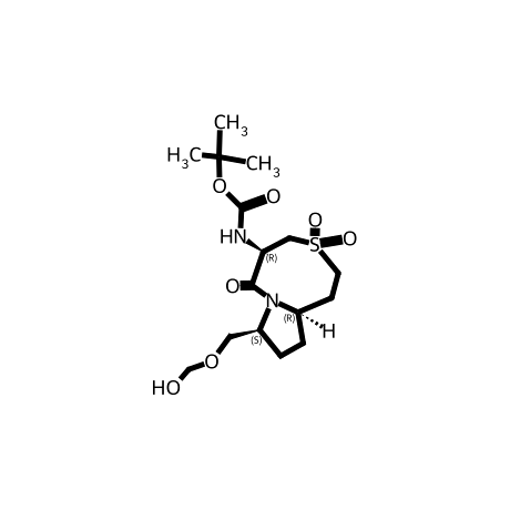 CC(C)(C)OC(=O)N[C@H]1CS(=O)(=O)CC[C@H]2CC[C@@H](COCO)N2C1=O